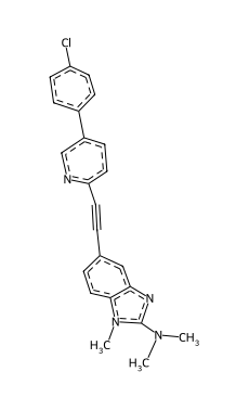 CN(C)c1nc2cc(C#Cc3ccc(-c4ccc(Cl)cc4)cn3)ccc2n1C